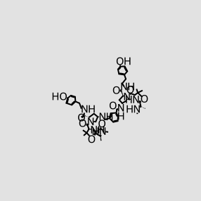 CN[C@@H](C)C(=O)N[C@H](C(=O)N1C[C@@H](NC(=O)c2cccc(C(=O)N[C@H]3C[C@@H](C(=O)NCCc4ccc(O)cc4)N(C(=O)[C@@H](NC(=O)[C@H](C)NC)C(C)(C)C)C3)c2)C[C@H]1C(=O)NCCc1ccc(O)cc1)C(C)(C)C